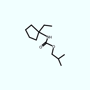 CCC1(NC(=O)OCC(C)C)CCCC1